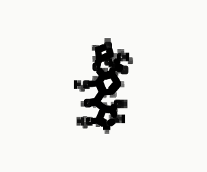 Cc1n[nH]c(O)c1C(=O)c1ccc(S(C)(=O)=O)c(OC2COC2)c1C